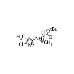 Cc1nc(NC[C@@H](C)NC(=O)OC(C)(C)C)nnc1Cl